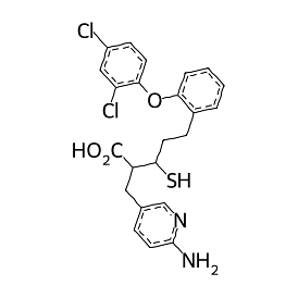 Nc1ccc(CC(C(=O)O)C(S)CCc2ccccc2Oc2ccc(Cl)cc2Cl)cn1